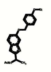 CCOc1ccc(COc2ccc3cc(C(C)NC(C)=O)sc3c2)cc1